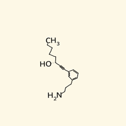 CCCCC[C@@H](O)C#Cc1cccc(CCCN)c1